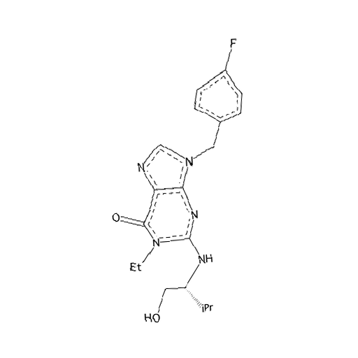 CCn1c(N[C@@H](CO)C(C)C)nc2c(ncn2Cc2ccc(F)cc2)c1=O